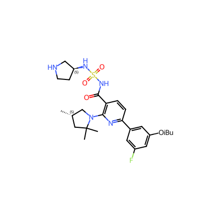 CC(C)COc1cc(F)cc(-c2ccc(C(=O)NS(=O)(=O)N[C@H]3CCNC3)c(N3C[C@@H](C)CC3(C)C)n2)c1